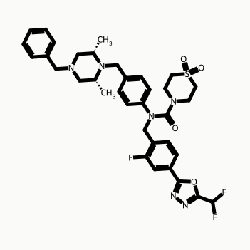 C[C@@H]1CN(Cc2ccccc2)C[C@H](C)N1Cc1ccc(N(Cc2ccc(-c3nnc(C(F)F)o3)cc2F)C(=O)N2CCS(=O)(=O)CC2)cc1